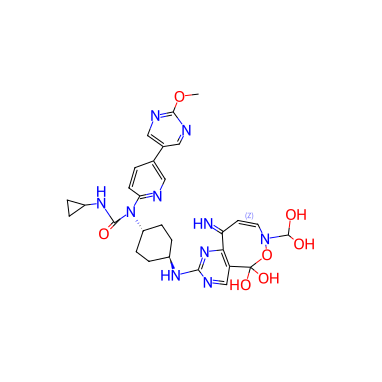 COc1ncc(-c2ccc(N(C(=O)NC3CC3)[C@H]3CC[C@H](Nc4ncc5c(n4)C(=N)/C=C\N(C(O)O)OC5(O)O)CC3)nc2)cn1